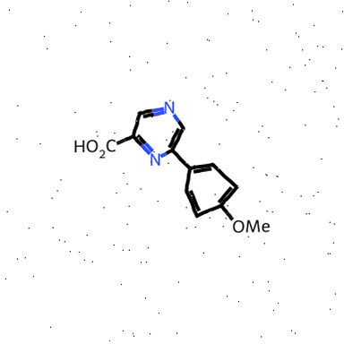 COc1ccc(-c2cncc(C(=O)O)n2)cc1